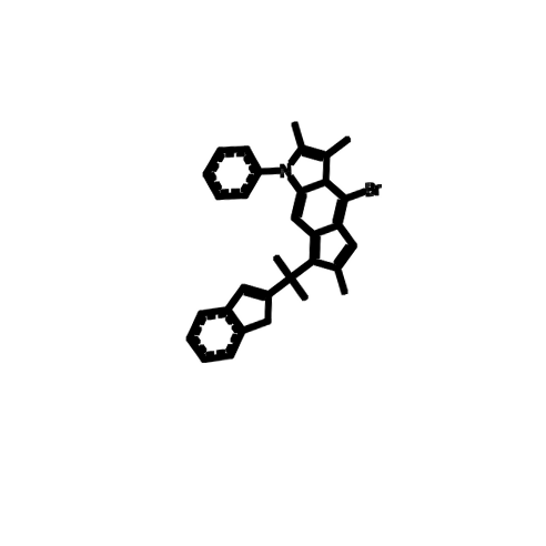 CC1=CC2=C(Br)C3C(=CC2=C1C(C)(C)C1=Cc2ccccc2C1)N(c1ccccc1)C(C)=C3C